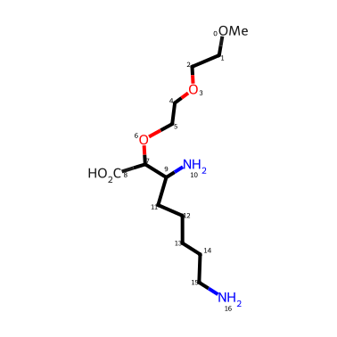 COCCOCCOC(C(=O)O)C(N)CCCCCN